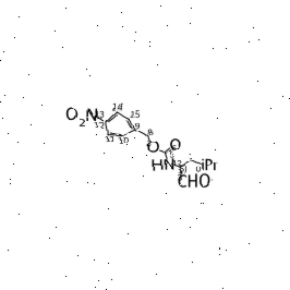 CC(C)C[C@@H]([C]=O)NC(=O)OCc1ccc([N+](=O)[O-])cc1